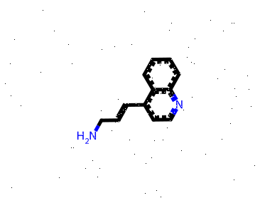 NCC=Cc1ccnc2ccccc12